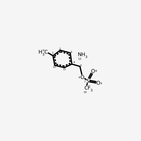 Cc1ccc(COS(=O)(=O)C(F)(F)F)cc1.N